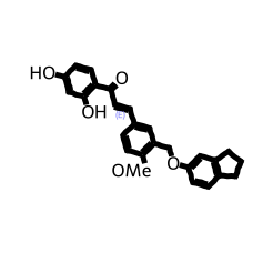 COc1ccc(/C=C/C(=O)c2ccc(O)cc2O)cc1COc1ccc2c(c1)CCC2